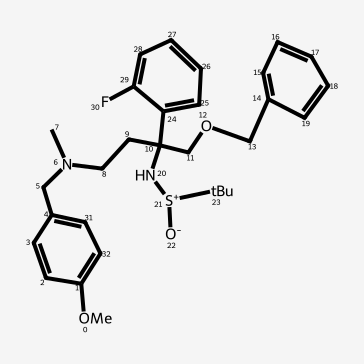 COc1ccc(CN(C)CCC(COCc2ccccc2)(N[S+]([O-])C(C)(C)C)c2ccccc2F)cc1